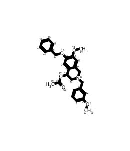 COc1cccc(CN2Cc3cc(OC)c(OCc4ccccc4)cc3C(OC(C)=O)C2)c1